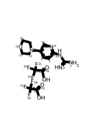 N=C(N)Nc1ccc(N2CCOCC2)cn1.O=C(O)C(F)(F)F.O=C(O)C(F)(F)F